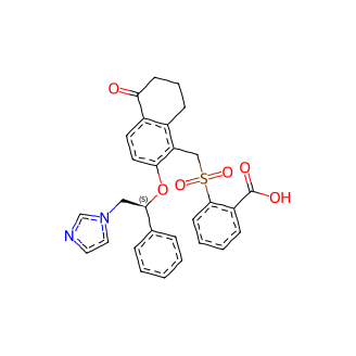 O=C(O)c1ccccc1S(=O)(=O)Cc1c(O[C@H](Cn2ccnc2)c2ccccc2)ccc2c1CCCC2=O